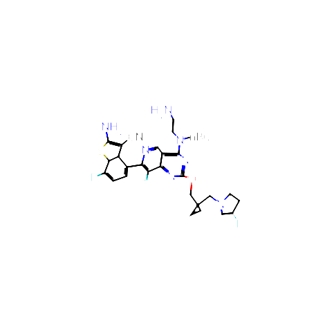 CCCCN(CCN)c1nc(OCC2(CN3CC[C@@H](F)C3)CC2)nc2c(F)c(C3=CC=C(F)C4SC(N)=C(C#N)C34)ncc12